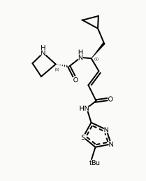 CC(C)(C)c1nnc(NC(=O)C=C[C@H](CC2CC2)NC(=O)[C@@H]2CCN2)s1